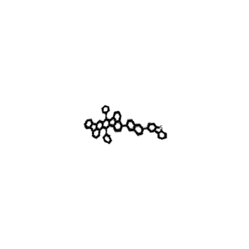 c1ccc(-c2c3cc4c5ccccc5c5cccc(c3c(-c3ccccc3)c3c6ccc(-c7ccc8cc(-c9ccc%10sc%11ccccc%11c%10c9)ccc8c7)c7cccc(c23)c76)c54)cc1